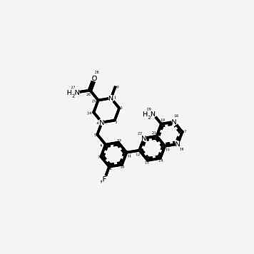 CN1CCN(Cc2cc(F)cc(-c3ccc4ncnc(N)c4n3)c2)CC1C(N)=O